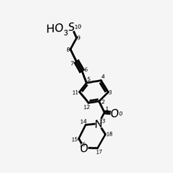 O=C(c1ccc(C#CCCS(=O)(=O)O)cc1)N1CCOCC1